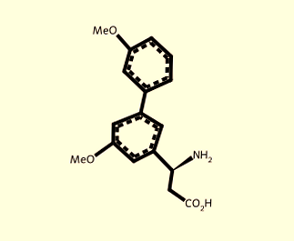 COc1cccc(-c2cc(OC)cc([C@@H](N)CC(=O)O)c2)c1